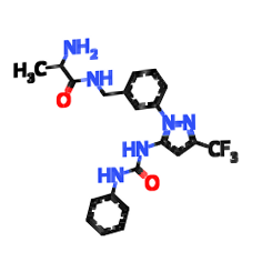 CC(N)C(=O)NCc1cccc(-n2nc(C(F)(F)F)cc2NC(=O)Nc2ccccc2)c1